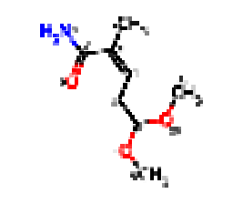 COC(CC=C(C)C(N)=O)OC